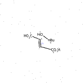 CCCCO.O=C(O)/C=C/C(=O)O